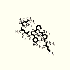 C/C=C/C=C(\C)[C@H](C[C@@H]1CC[C@@H](C)[C@](O)(C(=O)C(=O)N2CCCCC2C(=O)O[C@@H](CC(=O)[C@H](C)/C=C(\C)C[C@@H](OC)C(=O)[C@H](C)CC(C)C)[C@H](C)CC2CC[C@@H](O)[C@H](OC)C2)O1)OC